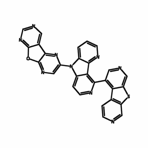 c1cnc2c3c(-c4cncc5sc6cnccc6c45)nccc3n(-c3cnc4oc5ncncc5c4n3)c2c1